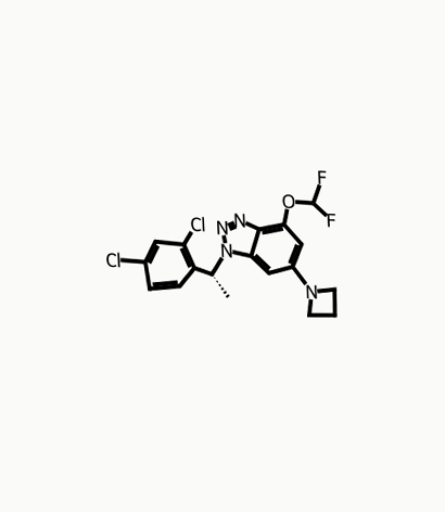 C[C@H](c1ccc(Cl)cc1Cl)n1nnc2c(OC(F)F)cc(N3CCC3)cc21